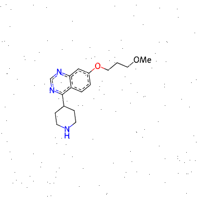 COCCCOc1ccc2c(C3CCNCC3)ncnc2c1